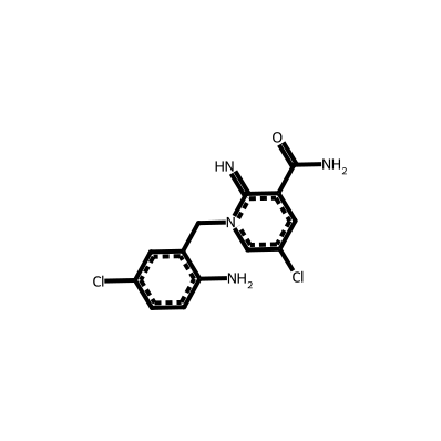 N=c1c(C(N)=O)cc(Cl)cn1Cc1cc(Cl)ccc1N